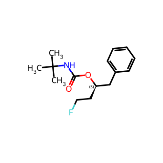 CC(C)(C)NC(=O)O[C@H](CCF)Cc1ccccc1